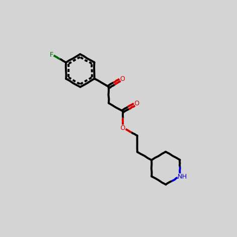 O=C(CC(=O)c1ccc(F)cc1)OCCC1CCNCC1